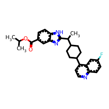 CC(C)OC(=O)c1ccc2[nH]c(C(C)C3CCC(c4ccnc5ccc(F)cc45)CC3)nc2c1